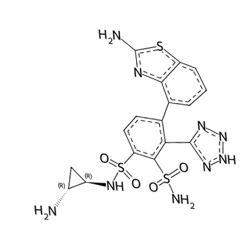 Nc1nc2c(-c3ccc(S(=O)(=O)N[C@@H]4C[C@H]4N)c(S(N)(=O)=O)c3-c3nn[nH]n3)cccc2s1